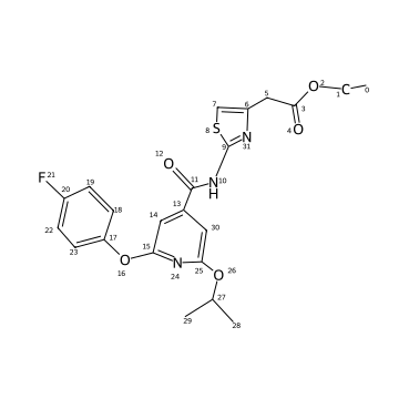 CCOC(=O)Cc1csc(NC(=O)c2cc(Oc3ccc(F)cc3)nc(OC(C)C)c2)n1